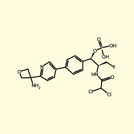 NC1(c2ccc(-c3ccc([C@@H](OP(=O)(O)O)[C@@H](CF)NC(=O)C(Cl)Cl)cc3)cn2)COC1